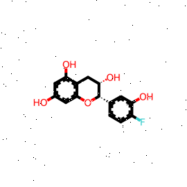 Oc1cc(O)c2c(c1)O[C@@H](c1ccc(F)c(O)c1)[C@@H](O)C2